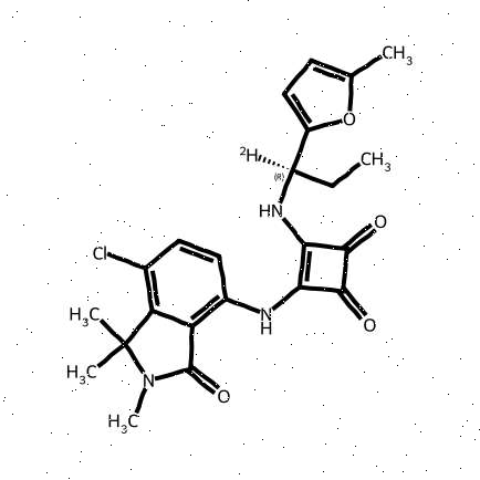 [2H][C@](CC)(Nc1c(Nc2ccc(Cl)c3c2C(=O)N(C)C3(C)C)c(=O)c1=O)c1ccc(C)o1